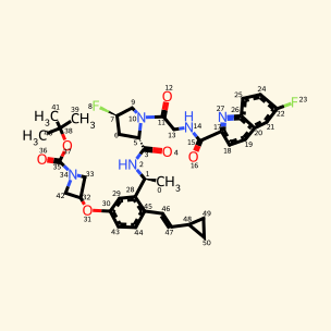 C[C@H](NC(=O)[C@@H]1C[C@@H](F)CN1C(=O)CNC(=O)c1ccc2cc(F)ccc2n1)c1cc(OC2CN(C(=O)OC(C)(C)C)C2)ccc1/C=C/C1CC1